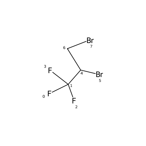 FC(F)(F)C(Br)CBr